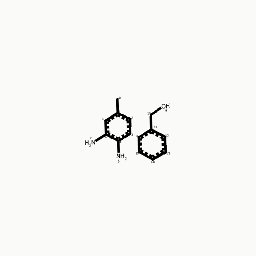 Cc1ccc(N)c(N)c1.OCc1ccccc1